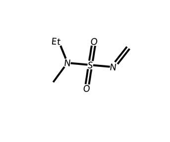 C=NS(=O)(=O)N(C)CC